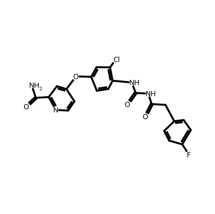 NC(=O)c1cc(Oc2ccc(NC(=O)NC(=O)Cc3ccc(F)cc3)c(Cl)c2)ccn1